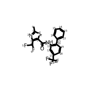 Cc1nc(C(F)F)c(C(=O)Nc2cc(C(F)(F)F)ccc2-c2ccccc2)s1